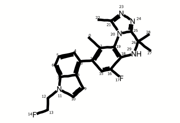 Cc1c(-c2cccc3c2ccn3CCF)cc(F)c2c1-n1c(C)nnc1C(C)(C)N2